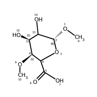 CO[C@@H]1OC(C(=O)O)[C@@H](OC)[C@@H](O)C1O